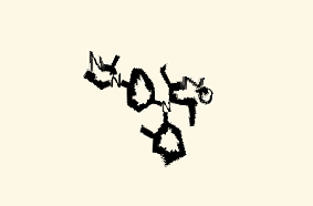 Cc1ccccc1N(c1ccc(-n2ccnc2C)cc1)c1c(C)noc1C